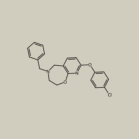 Clc1ccc(Oc2ccc3c(n2)OCCN(Cc2ccccc2)C3)cc1